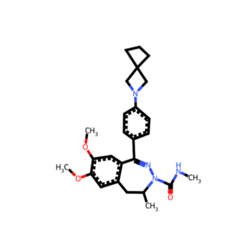 CNC(=O)N1N=C(c2ccc(N3CC4(CCC4)C3)cc2)c2cc(OC)c(OC)cc2CC1C